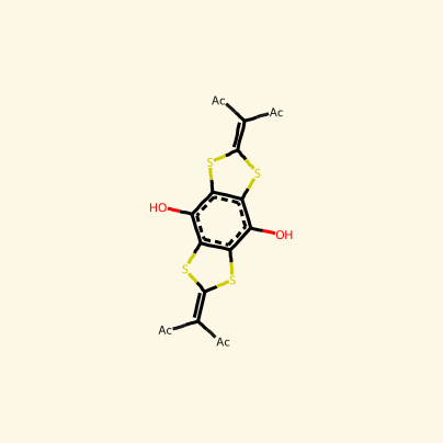 CC(=O)C(C(C)=O)=C1Sc2c(O)c3c(c(O)c2S1)SC(=C(C(C)=O)C(C)=O)S3